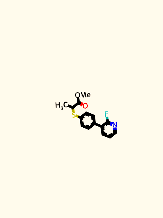 COC(=O)C(C)Sc1ccc(-c2cccnc2F)cc1